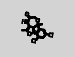 Cc1onc2c1NC(=O)COC2(C)c1cc(Cl)cc(Cl)c1